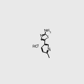 Cc1ccc(-c2cnc(N)s2)cn1.Cl